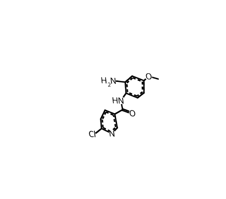 COc1ccc(NC(=O)c2ccc(Cl)nc2)c(N)c1